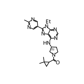 CCn1c(-c2cnc(C)nc2)nc2c(N[C@H]3CCN(C(=O)C4CC4(C)C)C3)ncnc21